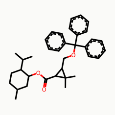 CC1CCC(C(C)C)C(OC(=O)C2C(COC(c3ccccc3)(c3ccccc3)c3ccccc3)C2(C)C)C1